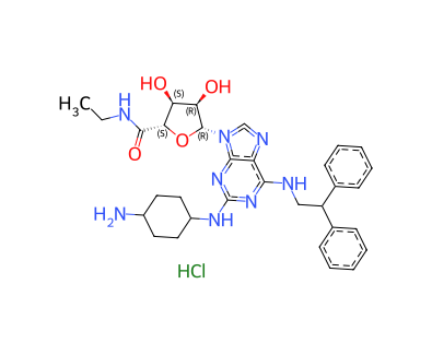 CCNC(=O)[C@H]1O[C@@H](n2cnc3c(NCC(c4ccccc4)c4ccccc4)nc(NC4CCC(N)CC4)nc32)[C@H](O)[C@@H]1O.Cl